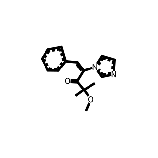 COC(C)(C)C(=O)/C(=C\c1ccccc1)n1ccnc1